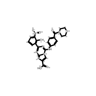 Cc1c(-c2nc(Nc3ccc(C(=O)N4CCOCC4)cc3)n3cc(C(=O)O)nc3n2)cccc1[N+](=O)[O-]